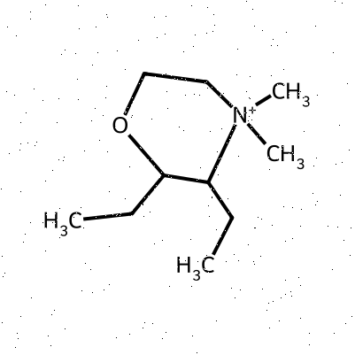 CCC1OCC[N+](C)(C)C1CC